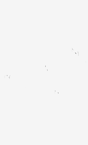 Nc1cnc2n1CCNC2